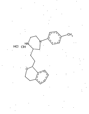 Cc1ccc(N2CCNC(CCC3OCCc4ccccc43)C2)cc1.Cl.Cl